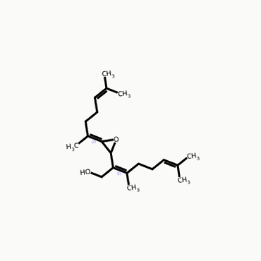 CC(C)=CCC/C(C)=C(/CO)C1O/C1=C(/C)CCC=C(C)C